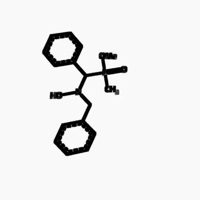 COP(C)(=O)C(c1ccccc1)N(O)Cc1ccccc1